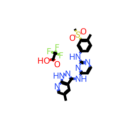 Cc1cnc2[nH]nc(Nc3ccnc(Nc4ccc(C)c(S(C)(=O)=O)c4)n3)c2c1.O=C(O)C(F)(F)F